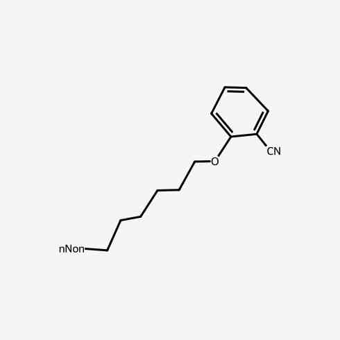 CCCCCCCCCCCCCCCOc1ccccc1C#N